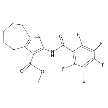 COC(=O)c1c(NC(=O)c2c(F)c(F)c(F)c(F)c2F)sc2c1CCCCC2